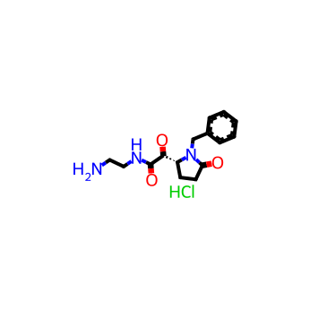 Cl.NCCNC(=O)C(=O)[C@H]1CCC(=O)N1Cc1ccccc1